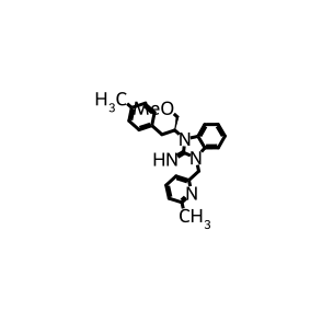 COC[C@H](Cc1ccc(C)cc1)n1c(=N)n(Cc2cccc(C)n2)c2ccccc21